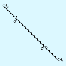 CCCCCCCCOC(=O)CCCCCCCCCCCCCCCCCC(=O)OCCCCCCCC